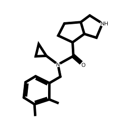 Cc1cccc(CN(C(=O)C2CCC3CNCC32)C2CC2)c1C